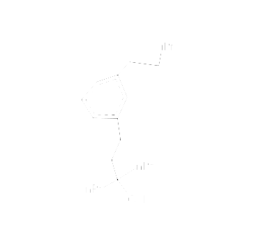 CCCC(O)(CCC)CCc1cccc(CCC(C)C)c1